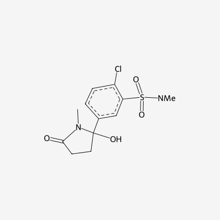 CNS(=O)(=O)c1cc(C2(O)CCC(=O)N2C)ccc1Cl